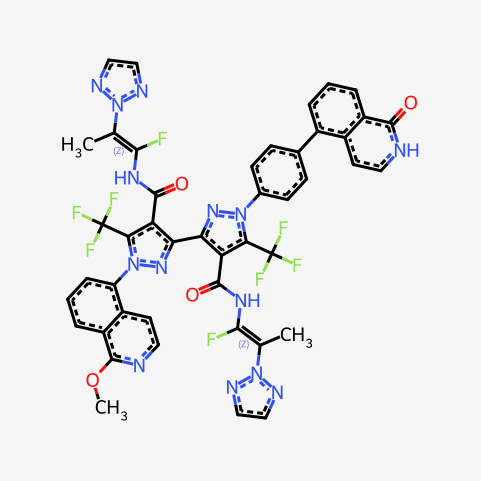 COc1nccc2c(-n3nc(-c4nn(-c5ccc(-c6cccc7c(=O)[nH]ccc67)cc5)c(C(F)(F)F)c4C(=O)N/C(F)=C(\C)n4nccn4)c(C(=O)N/C(F)=C(\C)n4nccn4)c3C(F)(F)F)cccc12